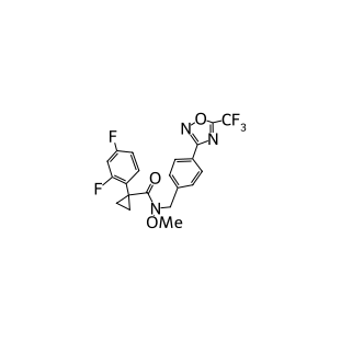 CON(Cc1ccc(-c2noc(C(F)(F)F)n2)cc1)C(=O)C1(c2ccc(F)cc2F)CC1